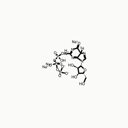 O=P([O-])([O-])OP(=O)([O-])OP(=O)(O)O.[2H]C12N=CN([C@@H]3O[C@H](CO)[C@@H](O)[C@H]3O)C1=NC(N)=NC2=O.[Na+].[Na+].[Na+]